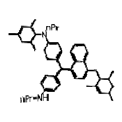 CCCNc1ccc(C(C2=CC=C(N(CCC)C3C(C)C=C(C)CC3C)CC2)c2ccc(CC3C(C)=CC(C)CC3C)c3ccccc23)cc1